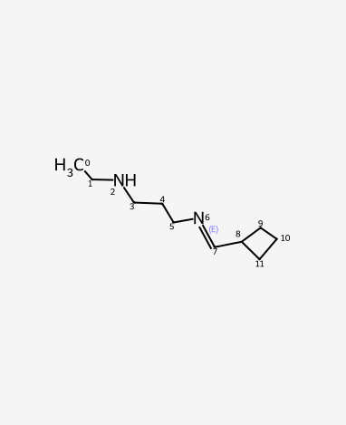 CCNCCC/N=C/C1CCC1